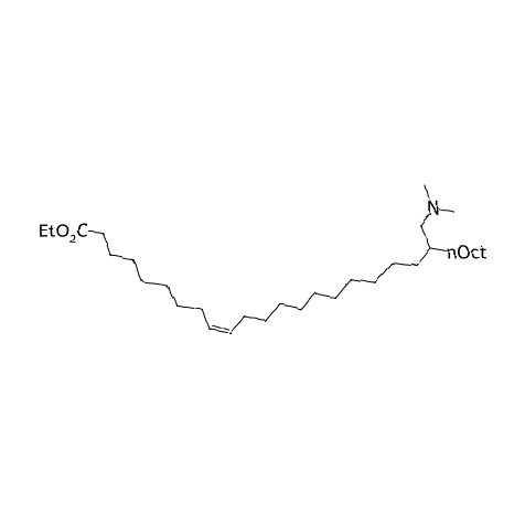 CCCCCCCCC(CCCCCCCCCC/C=C\CCCCCCCC(=O)OCC)CN(C)C